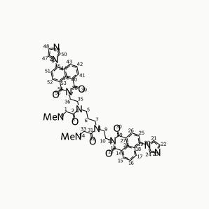 CNCC(=O)N(CCCN(CCN1C(=O)c2cccc3c(-n4ccnc4)ccc(c23)C1=O)C(=O)CNC)CCN1C(=O)c2cccc3c(-n4ccnc4)ccc(c23)C1=O